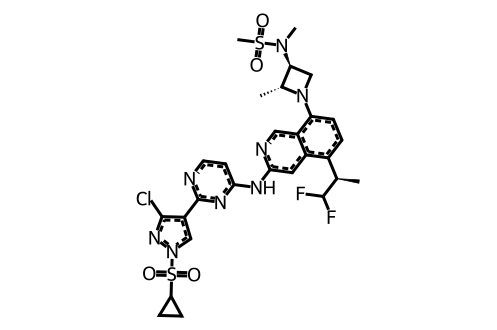 C[C@H](c1ccc(N2C[C@H](N(C)S(C)(=O)=O)[C@H]2C)c2cnc(Nc3ccnc(-c4cn(S(=O)(=O)C5CC5)nc4Cl)n3)cc12)C(F)F